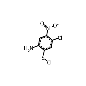 Nc1cc([N+](=O)[O-])c(Cl)cc1SCl